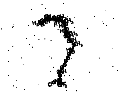 CC(=O)N1c2ccc(-c3ccc(C(=O)NCCOCCOCCOCCOCCOCCC(=O)NCCCN(C)CCCNC(=O)CCNC(=O)c4nc(NC(=O)CCNC(=O)c5cc(NC(=O)c6nc(NC(=O)CCNC(=O)c7cc(NC(=O)c8nccn8C)cn7C)cn6C)cn5C)cn4C)cc3)cc2C(Nc2ccc(Cl)cc2)C[C@@H]1C